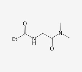 CCC(=O)NCC(=O)N(C)C